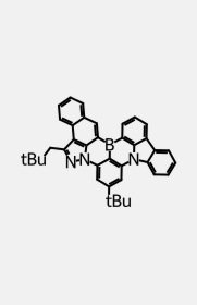 CC(C)(C)Cc1nn2c3c(cc4ccccc4c13)B1c3c-2cc(C(C)(C)C)cc3-n2c3ccccc3c3cccc1c32